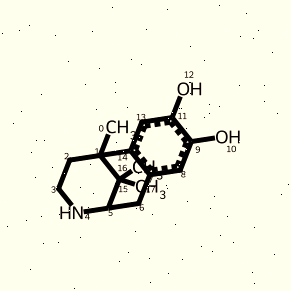 CC12CCNC(Cc3cc(O)c(O)cc31)C2(C)C